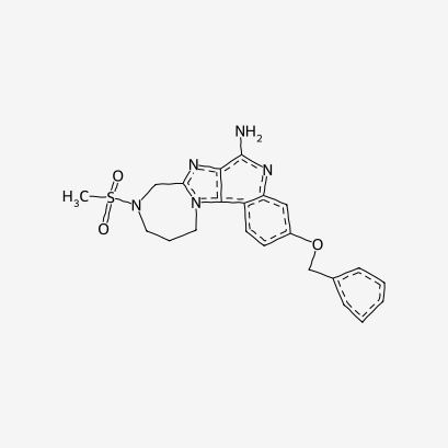 CS(=O)(=O)N1CCCn2c(nc3c(N)nc4cc(OCc5ccccc5)ccc4c32)C1